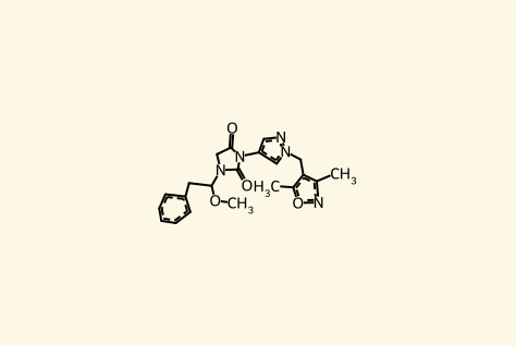 COC(Cc1ccccc1)N1CC(=O)N(c2cnn(Cc3c(C)noc3C)c2)C1=O